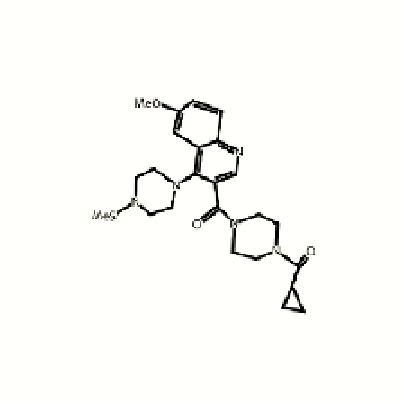 COc1ccc2ncc(C(=O)N3CCN(C(=O)C4CC4)CC3)c(N3CCN(SC)CC3)c2c1